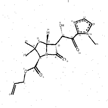 C=CCOC(=O)[C@@H]1N2C(=O)[C@@H]([C@H](O)C(=O)c3nccn3C)[C@H]2SC1(C)C